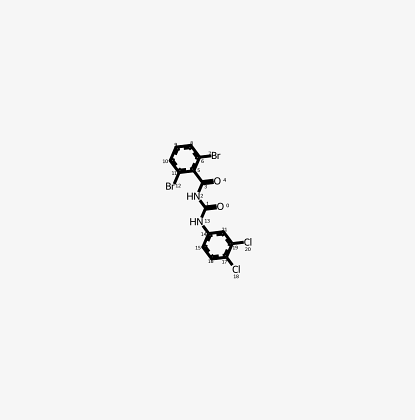 O=C(NC(=O)c1c(Br)cccc1Br)Nc1ccc(Cl)c(Cl)c1